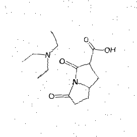 CCN(CC)CC.O=C(O)C1CC2CCC(=O)N2C1=O